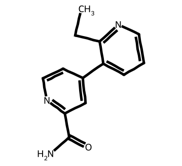 CCc1ncccc1-c1ccnc(C(N)=O)c1